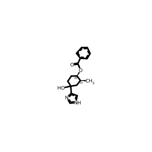 C[C@H]1CC(O)(c2c[nH]cn2)CC[C@H]1OC(=O)c1ccccc1